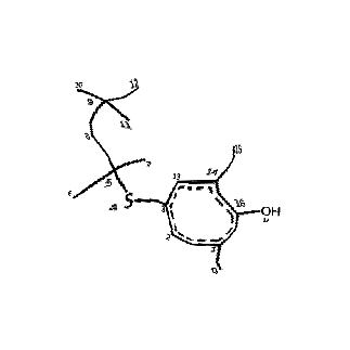 Cc1cc(SC(C)(C)CC(C)(C)C)cc(C)c1O